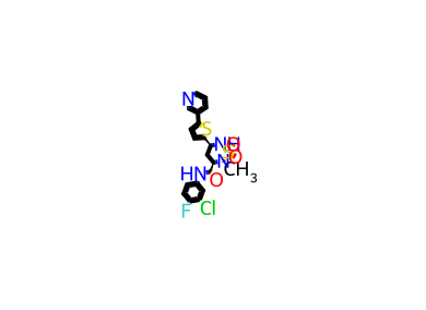 CN1[C@@H](C(=O)Nc2ccc(F)c(Cl)c2)C[C@@H](c2ccc(-c3cccnc3)s2)NS1(=O)=O